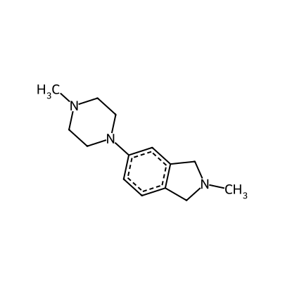 CN1CCN(c2ccc3c(c2)CN(C)C3)CC1